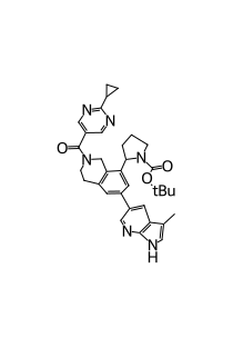 Cc1c[nH]c2ncc(-c3cc4c(c(C5CCCN5C(=O)OC(C)(C)C)c3)CN(C(=O)c3cnc(C5CC5)nc3)CC4)cc12